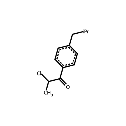 CC(C)Cc1ccc(C(=O)C(C)Cl)cc1